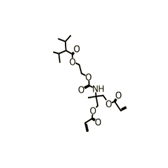 C=CC(=O)OCC(C)(COC(=O)C=C)NC(=O)OCCOC(=O)C(C(C)C)C(C)C